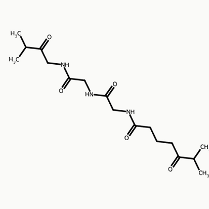 CC(C)C(=O)CCCC(=O)NCC(=O)NCC(=O)NCC(=O)C(C)C